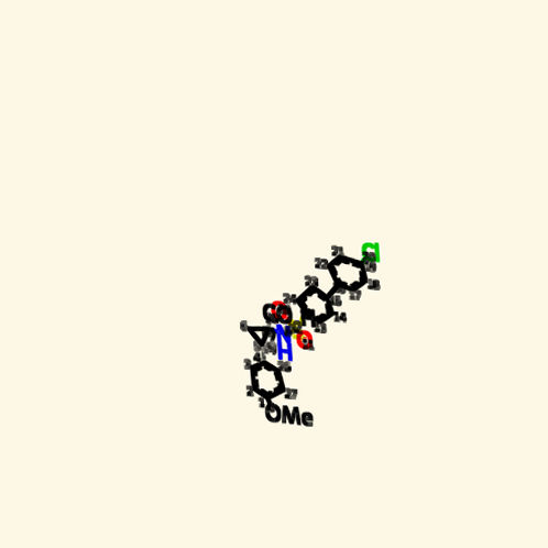 COc1ccc([C@@H]2C[C@]2(NS(=O)(=O)c2ccc(-c3ccc(Cl)cc3)cc2)C(=O)O)cc1